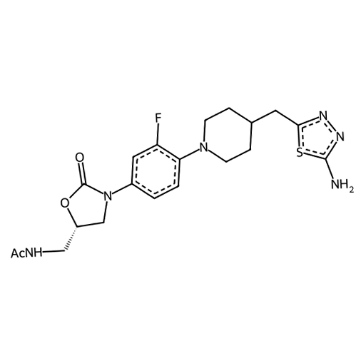 CC(=O)NC[C@H]1CN(c2ccc(N3CCC(Cc4nnc(N)s4)CC3)c(F)c2)C(=O)O1